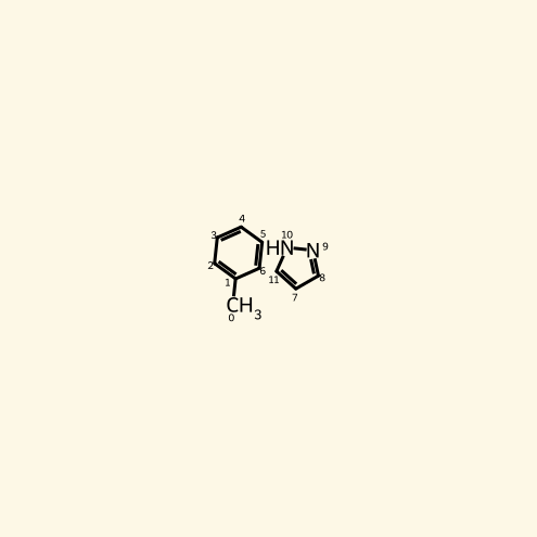 Cc1ccccc1.c1cn[nH]c1